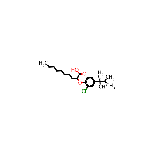 CCCCCCCCC(Oc1ccc(C(C)(C)C(C)C)cc1Cl)C(=O)O